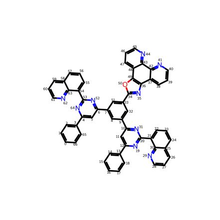 c1ccc(-c2cc(-c3cc(-c4cc(-c5ccccc5)nc(-c5cccc6cccnc56)n4)cc(-c4nc5c6cccnc6c6ncccc6c5o4)c3)nc(-c3cccc4cccnc34)n2)cc1